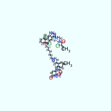 C/C=C(\Cl)C(=O)N1CCN(c2ncnc3c(F)c(-c4c(F)cccc4OCCCCCCCN4CCC(c5cc(C)cc6c5CN(C5CCC(=O)NC5=O)C6=O)CC4)c(Cl)cc23)CC1